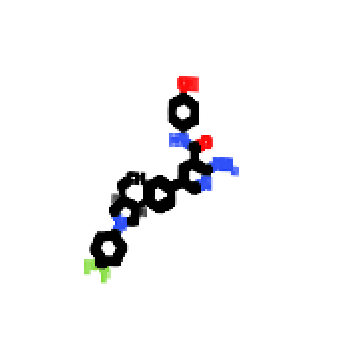 CC[C@@H]1CN(C2CCC(F)(F)CC2)C[C@H]1c1ccc(-c2cnc(N)c(C(=O)N[C@H]3CC[C@H](O)CC3)c2)cc1